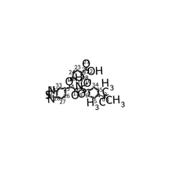 CC(C)(C)c1ccc(S(=O)(=O)NC(=O)C(Oc2ccc(C(=O)O)cc2)c2ccc3nsnc3c2)cc1